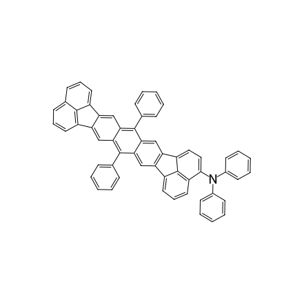 c1ccc(-c2c3cc4c(cc3c(-c3ccccc3)c3cc5c(cc23)-c2cccc3c(N(c6ccccc6)c6ccccc6)ccc-5c23)-c2cccc3cccc-4c23)cc1